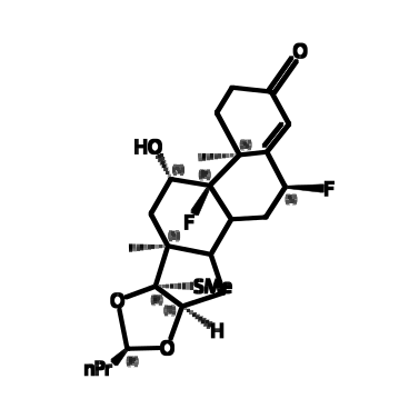 CCC[C@@H]1O[C@@H]2CC3C4C[C@H](F)C5=CC(=O)CC[C@]5(C)[C@@]4(F)[C@@H](O)C[C@]3(C)[C@]2(SC)O1